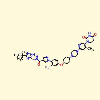 Cc1cc(N2CCN(C3CCC(Oc4ccc(-n5cc(C(=O)NCc6nc(C(C)(C)C(F)(F)F)n[nH]6)cn5)c(C)c4)CC3)CC2)ncc1N1CCC(=O)NC1=O